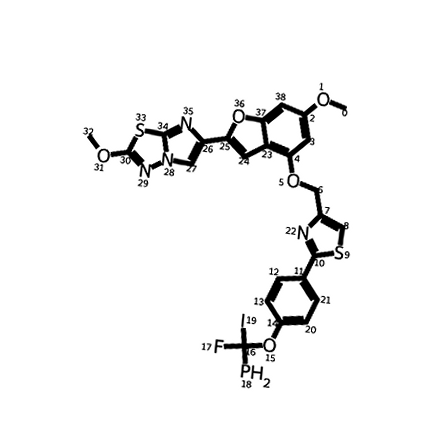 COc1cc(OCc2csc(-c3ccc(OC(F)(P)I)cc3)n2)c2cc(-c3cn4nc(OC)sc4n3)oc2c1